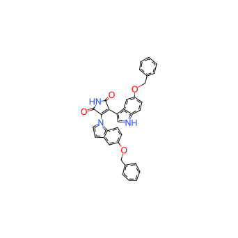 O=C1NC(=O)C(n2ccc3cc(OCc4ccccc4)ccc32)=C1c1c[nH]c2ccc(OCc3ccccc3)cc12